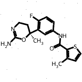 Cc1ccsc1C(=O)Nc1ccc(F)c([C@]2(C)CCN=C(N)O2)c1